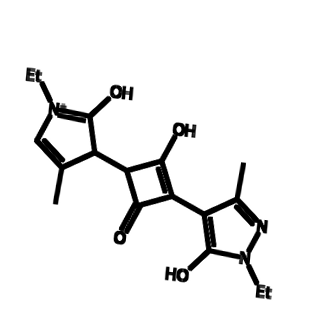 CCn1nc(C)c(C2=C(O)C(C3C(C)=C[N+](CC)=C3O)C2=O)c1O